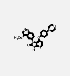 COc1cnnc2ccc(-n3c(=O)[nH]c4nccc(OC5CCC(N6CCOCC6)CC5)c43)cc12